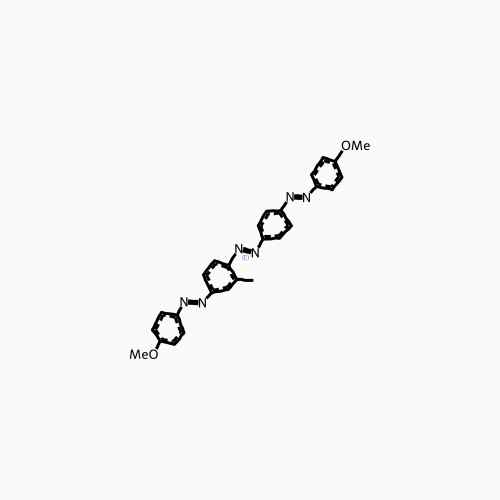 COc1ccc(N=Nc2ccc(/N=N/c3ccc(N=Nc4ccc(OC)cc4)cc3C)cc2)cc1